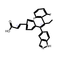 CC/C(=C(/c1ccc(/C=C/C(=O)O)cc1)c1ccc2[nH]ncc2c1)c1c(F)cccc1F